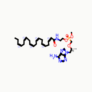 CC/C=C\C/C=C\C/C=C\C/C=C\C/C=C\C/C=C\C(=O)NCCOP(=O)(CO[C@H](C)Cn1cnc2c(N)ncnc21)OC